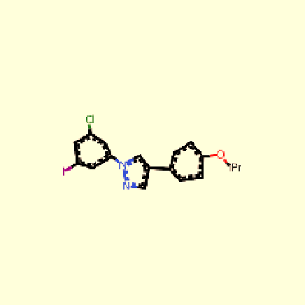 CC(C)Oc1ccc(-c2cnn(-c3cc(Cl)cc(I)c3)c2)cc1